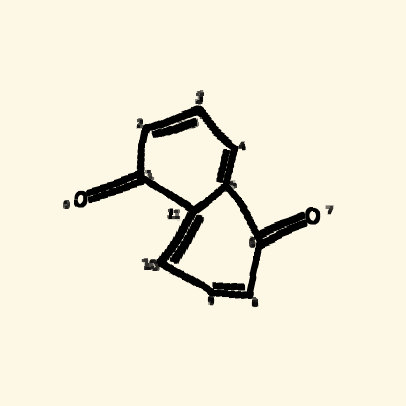 O=C1C=CC=C2C(=O)C=CC=C12